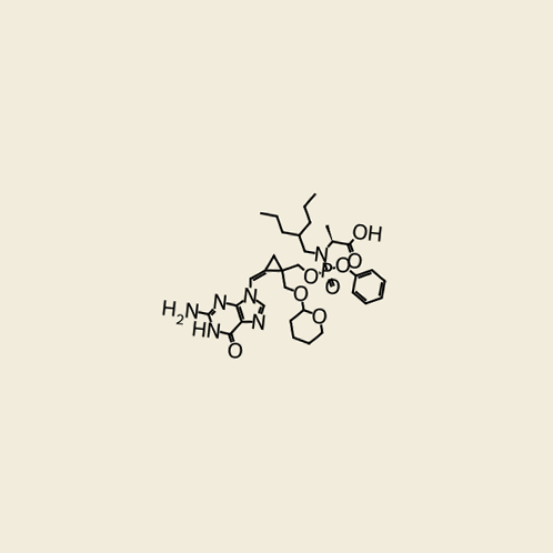 CCCC(CCC)CN([C@@H](C)C(=O)O)[P@](=O)(OCC1(COC2CCCCO2)C/C1=C/n1cnc2c(=O)[nH]c(N)nc21)Oc1ccccc1